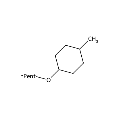 CCCCCOC1CCC(C)CC1